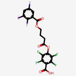 O=C(CCCOC(=O)c1cc(I)cc(I)c1I)Oc1c(F)c(F)c(C(=O)O)c(F)c1F